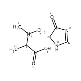 CC(C(=O)O)N(C)C.O=C1CNC=N1